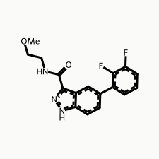 COCCNC(=O)c1n[nH]c2ccc(-c3cccc(F)c3F)cc12